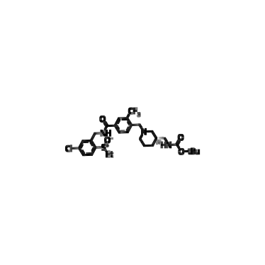 CC[S+]([O-])c1ccc(Cl)cc1CNC(=O)c1ccc(CN2CCC[C@@H](CNC(=O)OC(C)(C)C)C2)c(C(F)(F)F)c1